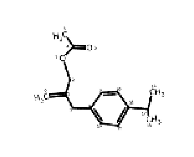 C=C(COC(C)=O)Cc1ccc(C(C)C)cc1